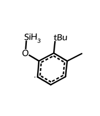 Cc1cc[c]c(O[SiH3])c1C(C)(C)C